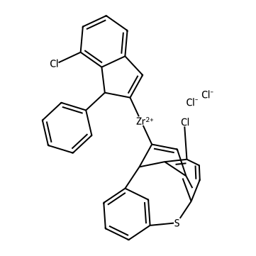 Clc1cccc2c1C(c1ccccc1)[C]([Zr+2][C]1=Cc3c4ccc(Cl)c3C1c1cccc(c1)S4)=C2.[Cl-].[Cl-]